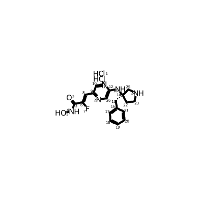 Cl.Cl.O=C(NO)/C(F)=C/c1cnc(N[C@]2(Cc3ccccc3)CCNC2)cn1